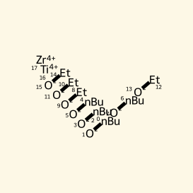 CCCC[O-].CCCC[O-].CCCC[O-].CCCC[O-].CC[O-].CC[O-].CC[O-].CC[O-].[Ti+4].[Zr+4]